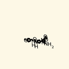 COc1ccc(CNC(=O)Nc2ccc(-c3nc(N)cc(CS(C)(=O)=O)n3)cc2)cc1